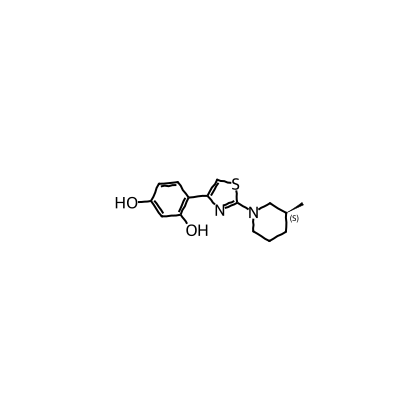 C[C@H]1CCCN(c2nc(-c3ccc(O)cc3O)cs2)C1